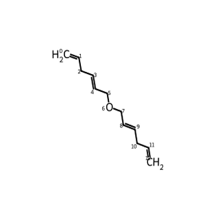 C=CCC=CCOCC=CCC=C